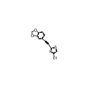 CCc1csc(C#Cc2ccc3c(c2)OCO3)n1